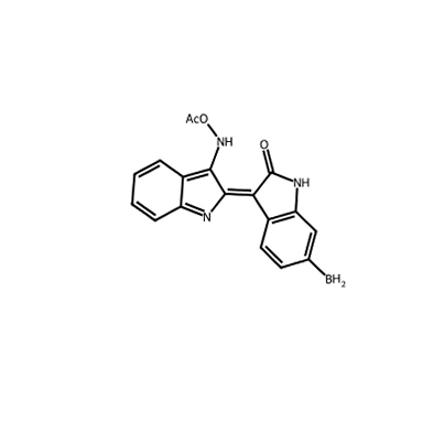 Bc1ccc2c(c1)NC(=O)/C2=C1/N=c2ccccc2=C1NOC(C)=O